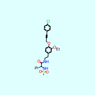 CCOc1cc(CCNC(=O)C(NS(C)(=O)=O)C(C)C)ccc1OCC#Cc1ccc(Cl)cc1